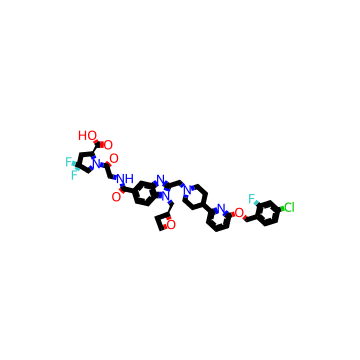 O=C(NCC(=O)N1CC(F)(F)C[C@H]1C(=O)O)c1ccc2c(c1)nc(CN1CCC(c3cccc(OCc4ccc(Cl)cc4F)n3)CC1)n2C[C@@H]1CCO1